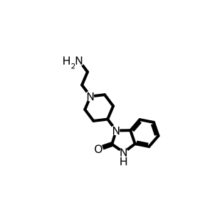 NCCN1CCC(n2c(=O)[nH]c3ccccc32)CC1